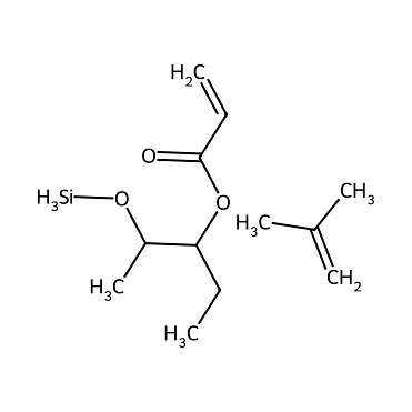 C=C(C)C.C=CC(=O)OC(CC)C(C)O[SiH3]